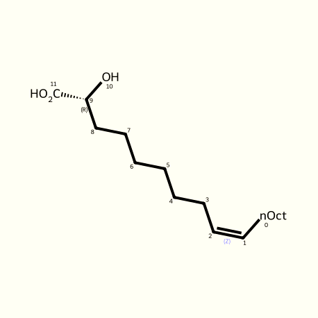 CCCCCCCC/C=C\CCCCCC[C@@H](O)C(=O)O